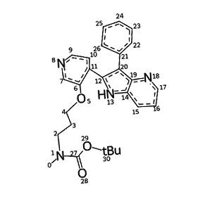 CN(CCCOc1cnccc1-c1[nH]c2cccnc2c1-c1ccccc1)C(=O)OC(C)(C)C